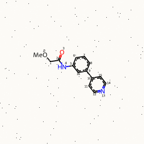 COCC(=O)Nc1cccc(-c2ccncc2)c1